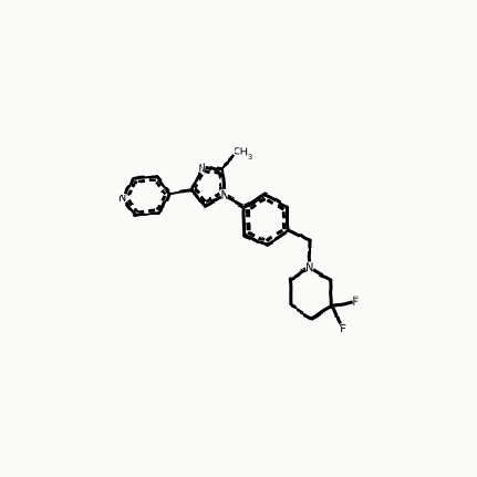 Cc1nc(-c2ccncc2)cn1-c1ccc(CN2CCCC(F)(F)C2)cc1